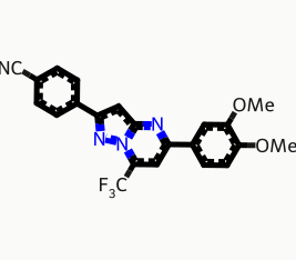 COc1ccc(-c2cc(C(F)(F)F)n3nc(-c4ccc(C#N)cc4)cc3n2)cc1OC